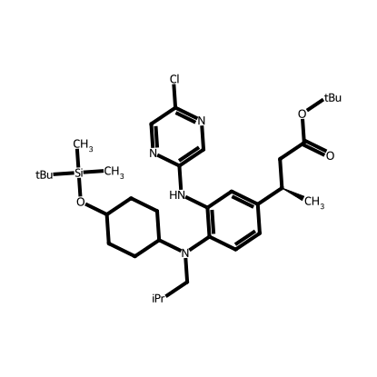 CC(C)CN(c1ccc([C@H](C)CC(=O)OC(C)(C)C)cc1Nc1cnc(Cl)cn1)C1CCC(O[Si](C)(C)C(C)(C)C)CC1